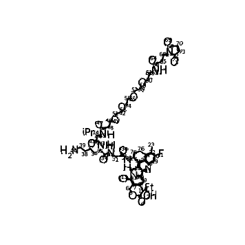 CCC1(O)C(=O)OCc2c1cc1n(c2=O)Cc2c-1nc1cc(F)c(C)c3c1c2[C@@H](NC(=O)CNC(=O)[C@H](CCCCN)NC(=O)[C@@H](NC(=O)CCOCCOCCOCCOCCNC(=O)CCN1C(=O)C=CC1=O)C(C)C)CC3